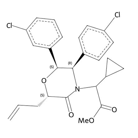 C=CC[C@@H]1O[C@@H](c2cccc(Cl)c2)[C@@H](c2ccc(Cl)cc2)N(C(C(=O)OC)C2CC2)C1=O